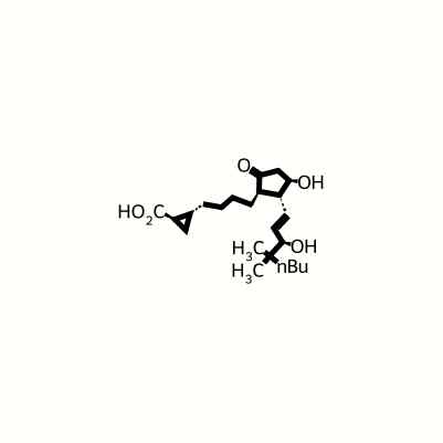 CCCCC(C)(C)[C@H](O)/C=C/[C@H]1[C@H](O)CC(=O)[C@@H]1CCCC[C@@H]1C[C@H]1C(=O)O